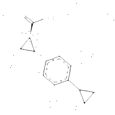 O=C(O)[C@@H]1C[C@H]1c1ccc(C2CC2)cc1